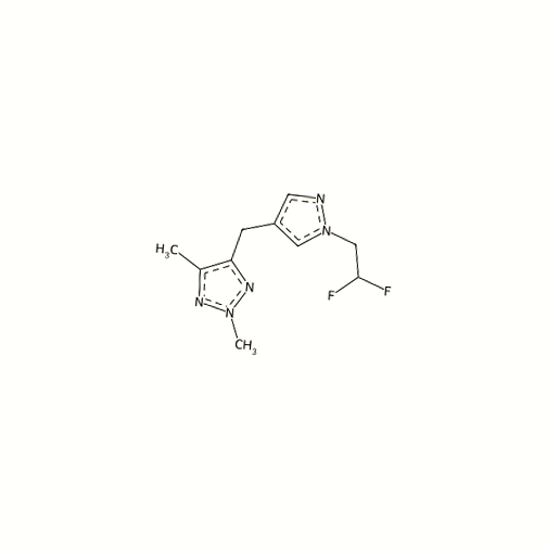 Cc1nn(C)nc1Cc1cnn(CC(F)F)c1